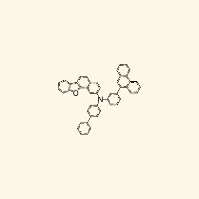 c1ccc(-c2ccc(N(c3cccc(-c4cc5ccccc5c5ccccc45)c3)c3ccc4ccc5c6ccccc6oc5c4c3)cc2)cc1